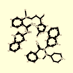 CN(C1CCOCC1)N(C(=O)c1ccccc1)c1cnc2ccccc2c1.Cc1ccc(C(C)CCN(C)c2ccccc2C(=O)Nc2cnc3ccccc3c2)o1